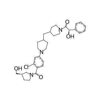 O=C(c1ccc(N2CCC(CC3CCN(C(=O)[C@H](O)c4ccccc4)CC3)CC2)cc1Cl)N1CC[C@@H](CO)C1